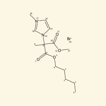 CCCCCOC(=O)C(C)(C(=O)OC)n1cc[n+](C)c1.[Br-]